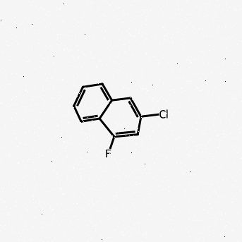 Fc1cc(Cl)cc2ccccc12